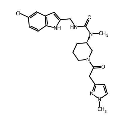 CN(C(=O)NCc1cc2cc(Cl)ccc2[nH]1)[C@@H]1CCCN(C(=O)Cc2ccn(C)n2)C1